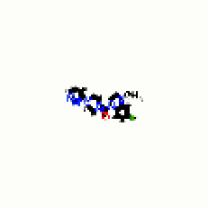 CN1CCN(C(=O)N2CCN(c3cccnn3)CC2)c2ccc(F)cc21